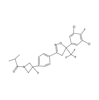 CC(C)C(=O)N1CC(F)(c2ccc(C3=NOC(c4cc(Cl)c(F)c(Cl)c4)(C(F)(F)F)C3)cc2)C1